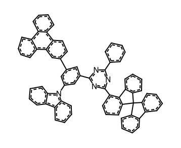 c1ccc(-c2nc(-c3cc(-c4ccc5c6ccccc6c6ccccc6c5c4)cc(-n4c5ccccc5c5ccccc54)c3)nc(-c3cccc4c3-c3ccccc3C43c4ccccc4-c4ccccc43)n2)cc1